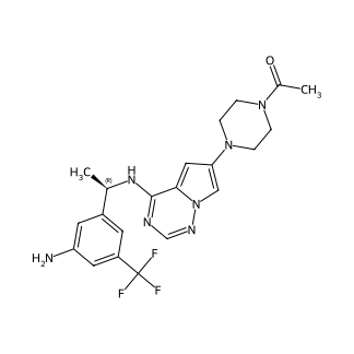 CC(=O)N1CCN(c2cc3c(N[C@H](C)c4cc(N)cc(C(F)(F)F)c4)ncnn3c2)CC1